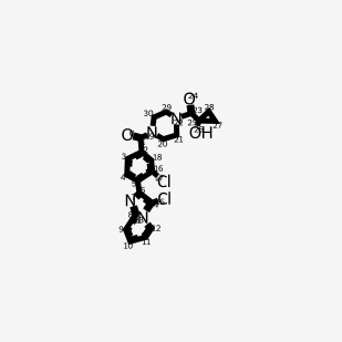 O=C(c1ccc(-c2nc3ccccn3c2Cl)c(Cl)c1)N1CCN(C(=O)C2(O)CC2)CC1